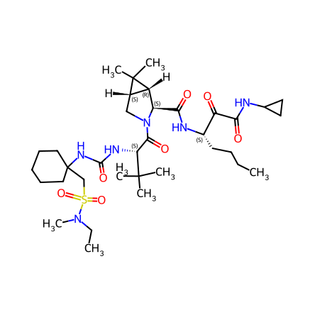 CCCC[C@H](NC(=O)[C@@H]1[C@@H]2[C@H](CN1C(=O)[C@@H](NC(=O)NC1(CS(=O)(=O)N(C)CC)CCCCC1)C(C)(C)C)C2(C)C)C(=O)C(=O)NC1CC1